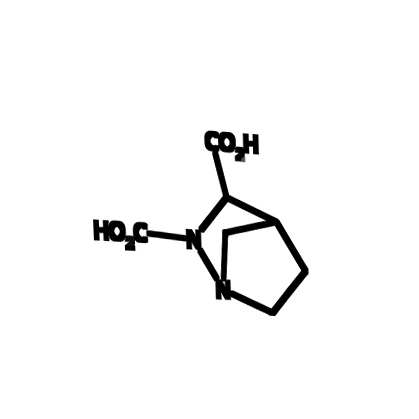 O=C(O)C1C2CCN(C2)N1C(=O)O